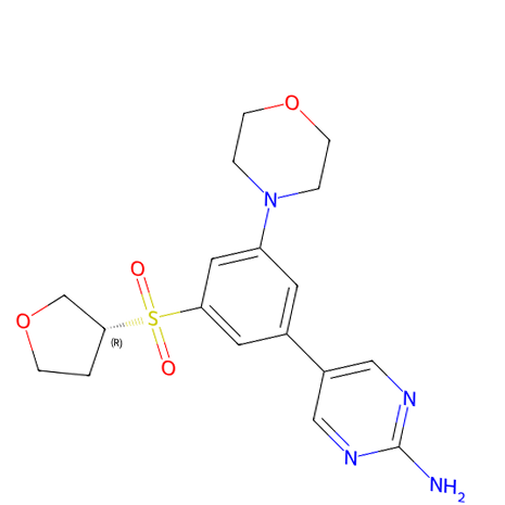 Nc1ncc(-c2cc(N3CCOCC3)cc(S(=O)(=O)[C@@H]3CCOC3)c2)cn1